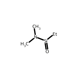 CC[Si](=O)N(C)C